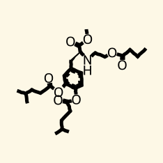 CCCC(=O)OCCN[C@@H](Cc1ccc(OC(=O)CCC(C)C)c(OC(=O)CCC(C)C)c1)C(=O)OC